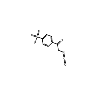 O=C=NCC(=O)c1ccc(S(=O)(=O)F)cc1